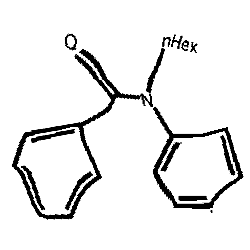 CCCCCCN(C(=O)c1ccccc1)c1cc[c]cc1